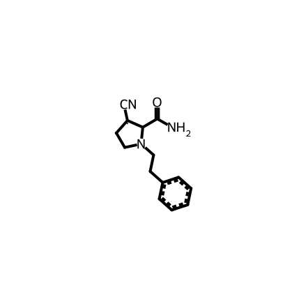 N#C[C]1CCN(CCc2ccccc2)C1C(N)=O